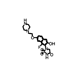 O=C1CN(c2c(O)cc3ccc(OCCN4CCNCC4)cc3c2F)S(=O)(=O)N1